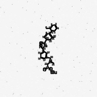 Cc1ccccc1-c1ccc(-c2nc(-c3cccc(CN(C)CC(=O)OC(C)(C)C)c3)no2)cc1C